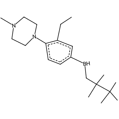 CCc1cc(BCC(C)(C)C(C)(C)C)ccc1N1CCN(C)CC1